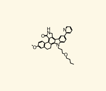 CCCCOCCCn1c2ccc(-c3ccccn3)cc2c2c3c(c4c(c21)CCc1cc(OC)ccc1-4)C(=O)NC3